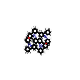 c1ccc(-n2c3ccccc3c3cc(-c4cccc5c6cccc7c8ccc9c(ccc%10c%11cccc%12c%13cccc(-c%14ccc%15c(c%14)c%14ccccc%14n%15-c%14ccccc%14)c%13n(c%12%11)c%109)c8n(c45)c67)ccc32)cc1